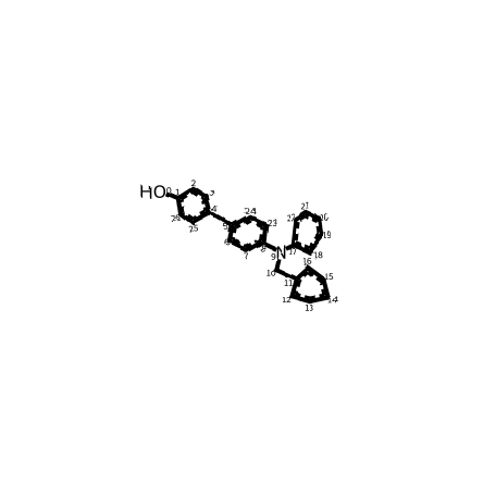 Oc1ccc(-c2ccc(N(Cc3ccccc3)c3ccccc3)cc2)cc1